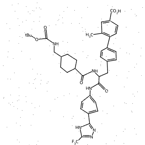 Cc1cc(C(=O)O)ccc1-c1ccc(CC(NC(=O)C2CCC(CNC(=O)OC(C)(C)C)CC2)C(=O)Nc2ccc(-c3nnc(C(F)(F)F)[nH]3)cc2)cc1